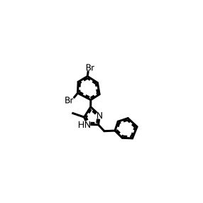 Cc1[nH]c(Cc2ccccc2)nc1-c1ccc(Br)cc1Br